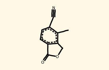 Cc1c(C#N)ccc2c1COC2=O